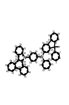 CC1(c2ccccc2)c2ccccc2-c2ccc(N(c3ccccc3)c3ccc(-n4c5ccccc5c5c6ccccc6c6ccccc6c54)cc3)cc21